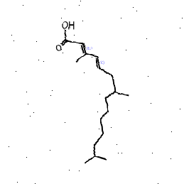 CC(/C=C/CC(C)CCCCCC(C)C)=C\C(=O)O